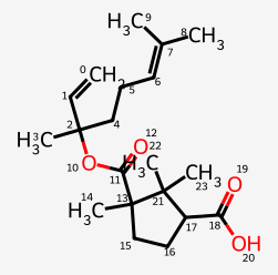 C=CC(C)(CCC=C(C)C)OC(=O)C1(C)CCC(C(=O)O)C1(C)C